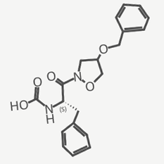 O=C(O)N[C@@H](Cc1ccccc1)C(=O)N1CC(OCc2ccccc2)CO1